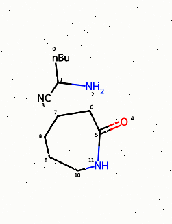 CCCCC(N)C#N.O=C1CCCCCN1